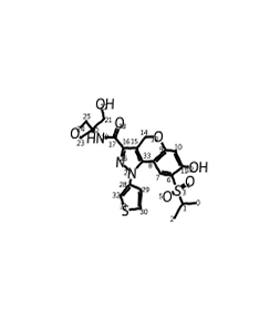 CC(C)S(=O)(=O)c1cc2c(cc1O)OCc1c(C(=O)NC3(CO)COC3)nn(-c3ccsc3)c1-2